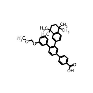 COCOc1cccc(-c2ccc(-c3ccc(C(=O)O)cc3)cc2-c2ccc3c(c2)C(C)(C)CCC3(C)C)c1